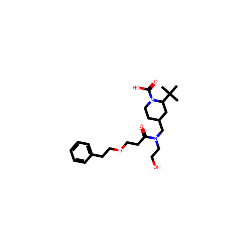 CC(C)(C)C1CC(CN(CCO)C(=O)CCOCCc2ccccc2)CCN1C(=O)O